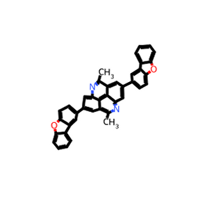 Cc1nc2cc(-c3ccc4oc5ccccc5c4c3)cc3c(C)nc4cc(-c5ccc6oc7ccccc7c6c5)cc1c4c23